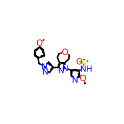 COc1ccc(Cn2cc(-c3nn(-c4cnc(OC)c(N[S+](C)[O-])c4)c4c3CCOCC4)cn2)cc1